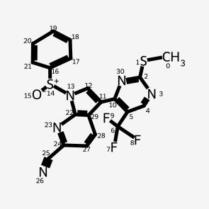 CSc1ncc(C(F)(F)F)c(-c2cn([S+]([O-])c3ccccc3)c3nc(C#N)ccc23)n1